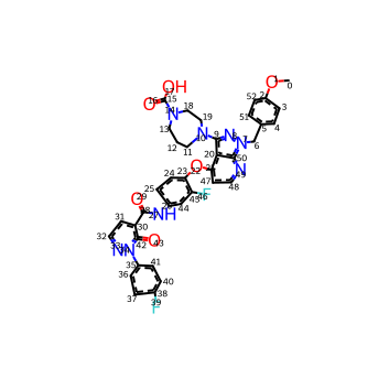 COc1ccc(Cn2nc(N3CCCN(C(=O)O)CC3)c3c(Oc4ccc(NC(=O)c5ccnn(-c6ccc(F)cc6)c5=O)cc4F)ccnc32)cc1